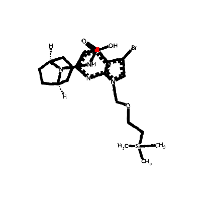 C[Si](C)(C)CCOCn1cc(Br)c2ncc(N3[C@@H]4CC[C@H]3C[C@@H](NC(=O)O)C4)nc21